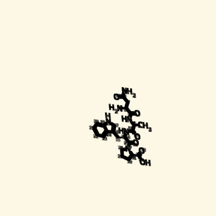 C[C@H](NC(=O)[C@@H](N)CC(N)=O)C(=O)N[C@@H](Cc1c[nH]c2ccccc12)C(=O)N1CCC[C@@H]1C(=O)O